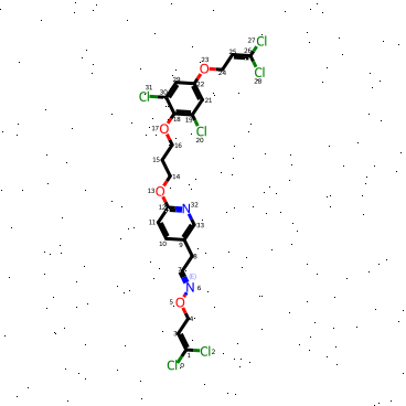 ClC(Cl)=CCO/N=C/Cc1ccc(OCCCOc2c(Cl)cc(OCC=C(Cl)Cl)cc2Cl)nc1